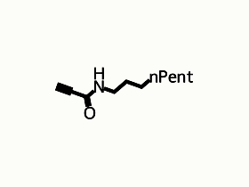 C#CC(=O)NCCCCCCCC